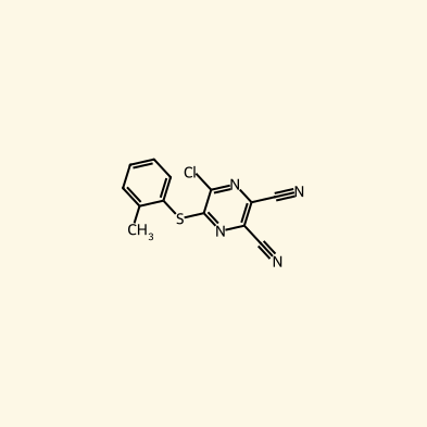 Cc1ccccc1Sc1nc(C#N)c(C#N)nc1Cl